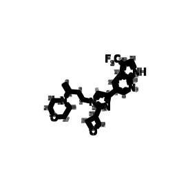 C=C(CCn1cc(-c2cnc3[nH]cc(C(F)(F)F)c3c2)nc1C1COC1)N1CCOCC1